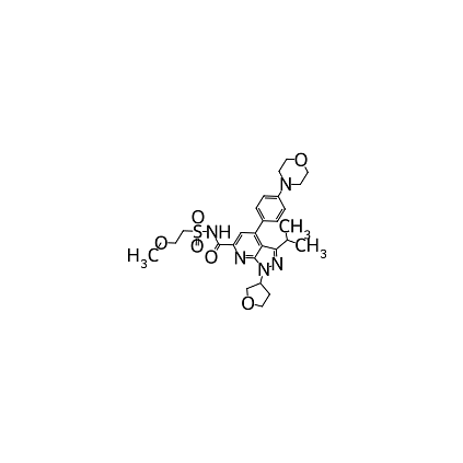 COCCS(=O)(=O)NC(=O)c1cc(-c2ccc(N3CCOCC3)cc2)c2c(C(C)C)nn(C3CCOC3)c2n1